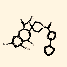 CCN1C(=O)N2Cc3cc(OC)cc(OC)c3C(C)C=C2C12CCN(C(=O)c1csc(-c3ccccc3)n1)CC2